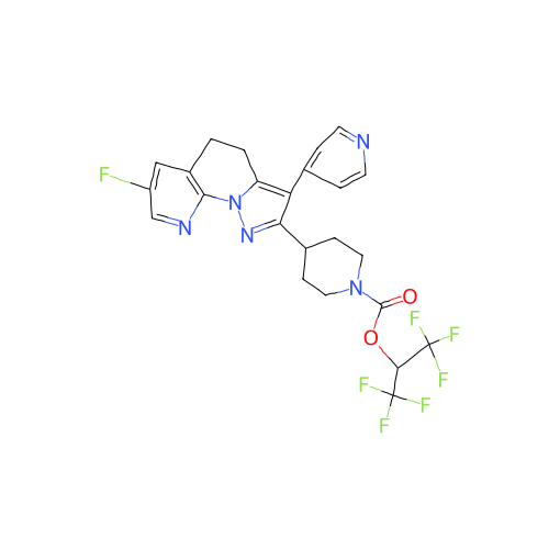 O=C(OC(C(F)(F)F)C(F)(F)F)N1CCC(c2nn3c(c2-c2ccncc2)CCc2cc(F)cnc2-3)CC1